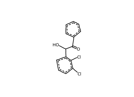 O=C(c1ccccc1)C(O)c1cccc(Cl)c1Cl